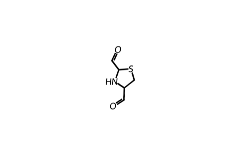 O=CC1CSC(C=O)N1